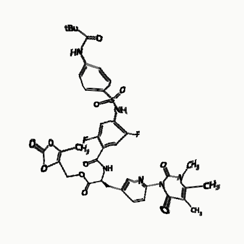 Cc1oc(=O)oc1COC(=O)[C@H](Cc1ccc(-n2c(=O)c(C)c(C)n(C)c2=O)nc1)NC(=O)c1cc(F)c(NS(=O)(=O)c2ccc(NC(=O)C(C)(C)C)cc2)cc1F